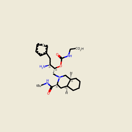 CC(C)(C)NC(=O)[C@@H]1C[C@@H]2CCCC[C@@H]2CN1C[C@@H](OC(=O)NCC(=O)O)[C@@H](N)Cc1ccccc1